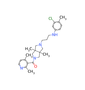 Cc1ccc(NCCCN2CC3(C)CN(C(=O)c4c(C)ccnc4C)CC3(C)C2)cc1Cl